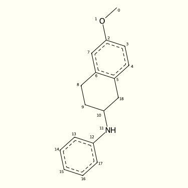 COc1ccc2c(c1)CCC(Nc1ccccc1)C2